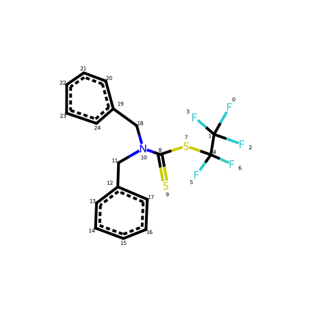 FC(F)(F)C(F)(F)SC(=S)N(Cc1ccccc1)Cc1ccccc1